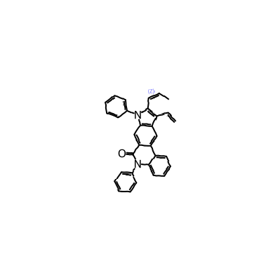 C=Cc1c(/C=C\C)n(-c2ccccc2)c2cc3c(=O)n(-c4ccccc4)c4ccccc4c3cc12